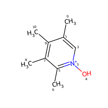 Cc1c[n+](O)c(C)c(C)c1C